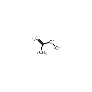 C=C(C)OO